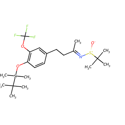 C/C(CCc1ccc(O[Si](C)(C)C(C)(C)C)c(OC(F)(F)F)c1)=N\[S@+]([O-])C(C)(C)C